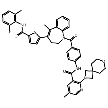 CC1=C(c2ccc(C(=O)Nc3c(C)cccc3F)s2)CCN(C(=O)c2ccc(NC(=O)c3cc(C)cnc3N3CC4(CCOCC4)C3)cc2)c2ccccc21